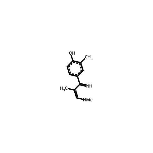 CN/C=C(/C)C(=N)c1ccc(O)c(C)c1